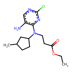 CCOC(=O)CCN(c1nc(Cl)ncc1N)C1CCC(C)C1